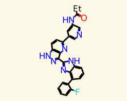 CCC(=O)Nc1cncc(-c2ccc3[nH]nc(-c4nc5c(-c6ccccc6F)cccc5[nH]4)c3n2)c1